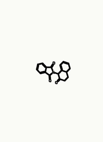 O=C1CCC2CC=CC=C2C1N1C(=O)c2ccccc2C1=O